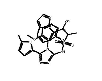 COc1cccc(OC)c1-n1c(NS(=O)(=O)C(C)C(O)c2cccc3ccnn23)nnc1-c1ccc(C)o1